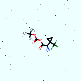 CC(C)(C)OC(=O)OC(=O)C(N)C1(C(F)(F)F)CC1